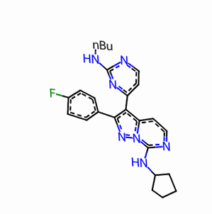 CCCCNc1nccc(-c2c(-c3ccc(F)cc3)nn3c(NC4CCCC4)nccc23)n1